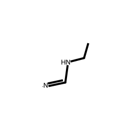 CCNC=[N]